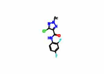 CC(=O)n1nc(Cl)c(C(=O)Nc2ccc(F)cc2F)n1